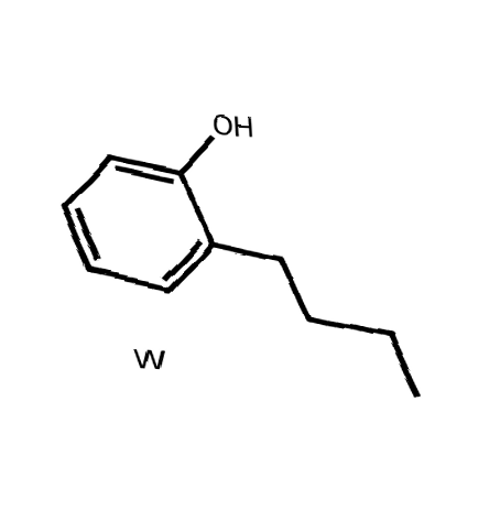 CCCCc1ccccc1O.[W]